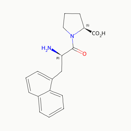 N[C@H](Cc1cccc2ccccc12)C(=O)N1CCC[C@H]1C(=O)O